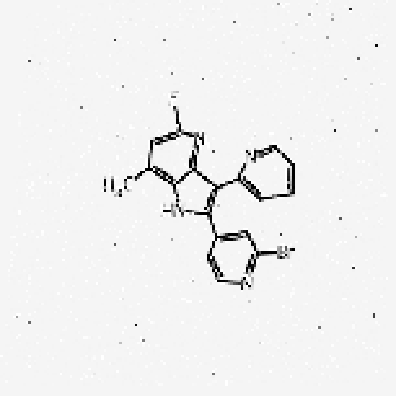 Cc1cc(F)nc2c(-c3ccccn3)c(-c3ccnc(Br)c3)[nH]c12